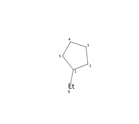 [CH2]C[C]1CCCC1